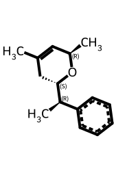 CC1=C[C@@H](C)O[C@H]([C@H](C)c2ccccc2)C1